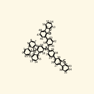 c1ccc(C2(c3ccccc3)c3ccccc3-c3cc(N(c4ccc(-c5ccc6c(c5)sc5ccccc56)cc4)c4cccc(-c5cccc6c5sc5ccccc56)c4)ccc32)cc1